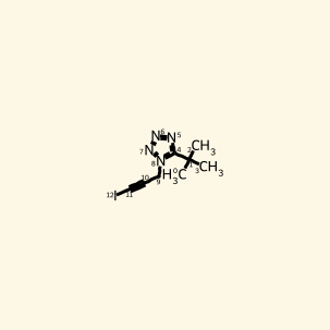 CC(C)(C)c1nnnn1CC#CI